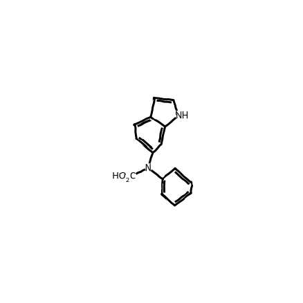 O=C(O)N(c1ccccc1)c1ccc2cc[nH]c2c1